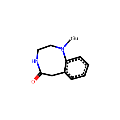 CC(C)(C)N1CCNC(=O)Cc2ccccc21